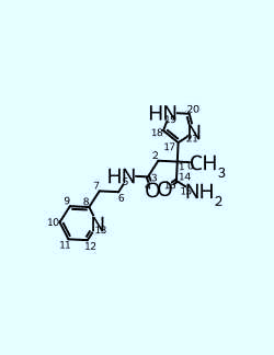 CC(CC(=O)NCCc1ccccn1)(C(N)=O)c1c[nH]cn1